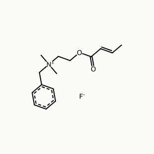 CC=CC(=O)OCC[N+](C)(C)Cc1ccccc1.[F-]